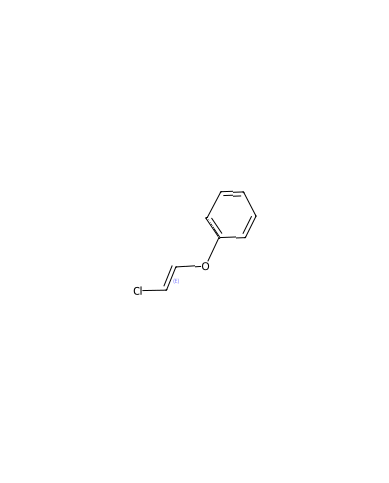 Cl/C=C/Oc1ccccc1